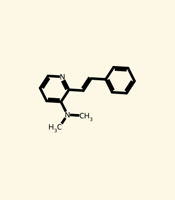 CN(C)c1cccnc1C=Cc1ccccc1